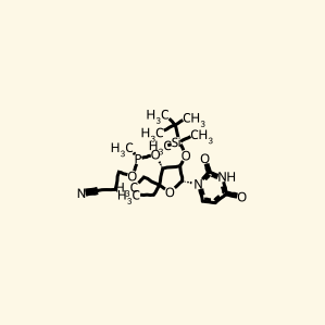 CCC1(CC)O[C@@H](n2ccc(=O)[nH]c2=O)C(O[Si](C)(C)C(C)(C)C)[C@H]1OP(C)OCCC#N